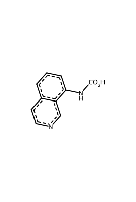 O=C(O)Nc1cccc2ccncc12